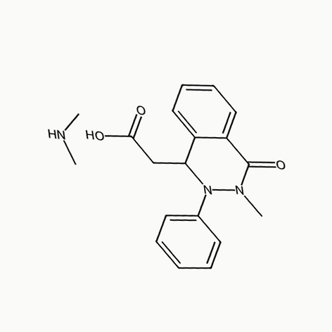 CN1C(=O)c2ccccc2C(CC(=O)O)N1c1ccccc1.CNC